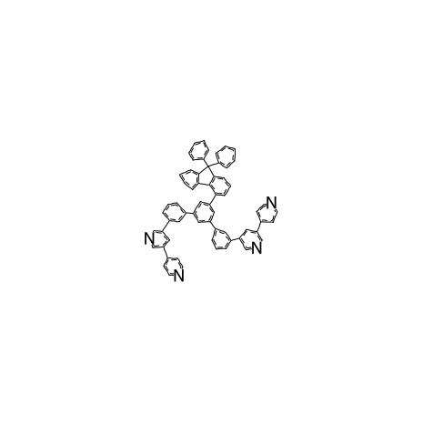 c1ccc(C2(c3ccccc3)c3ccccc3-c3c(-c4cc(-c5cccc(-c6cncc(-c7ccncc7)c6)c5)cc(-c5cccc(-c6cncc(-c7ccncc7)c6)c5)c4)cccc32)cc1